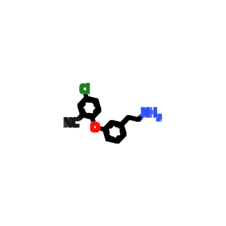 N#Cc1cc(Cl)ccc1Oc1cccc(CCN)c1